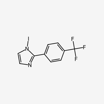 FC(F)(F)c1ccc(-c2nccn2I)cc1